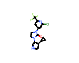 O=C1N(c2cc(Cl)nc(C(F)(F)F)c2)CCN1c1cnccc1C1CC1